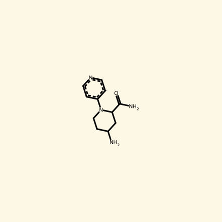 NC(=O)C1CC(N)CCN1c1[c]cncc1